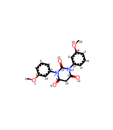 COc1cccc(N2C(=O)CC(=O)N(c3cccc(OC)c3)C2=O)c1